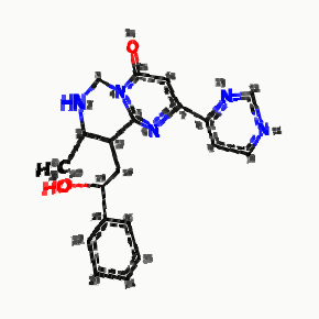 CC1NCn2c(nc(-c3ccncn3)cc2=O)C1CC(O)c1ccccc1